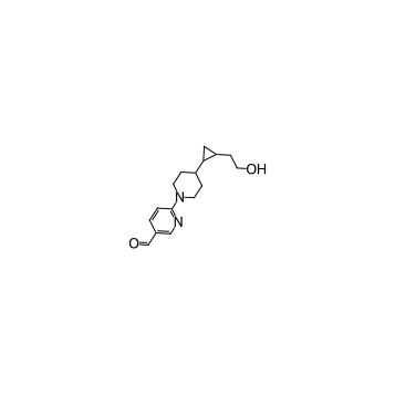 O=Cc1ccc(N2CCC(C3CC3CCO)CC2)nc1